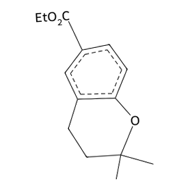 CCOC(=O)c1ccc2c(c1)CCC(C)(C)O2